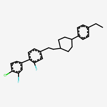 CCc1ccc(C2CCC(CCc3ccc(-c4ccc(Cl)c(F)c4)c(F)c3)CC2)cc1